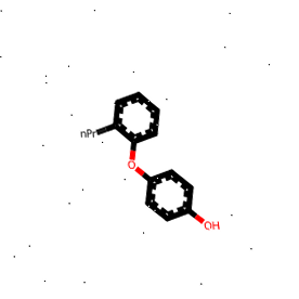 CCCc1ccccc1Oc1ccc(O)cc1